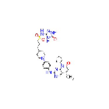 Cc1cc(=O)n(C2CCCC2)c2nc(Nc3ccc(N4CCC(CCCS(=O)(=O)Nc5n[nH]c(=O)[nH]5)CC4)cc3)ncc12